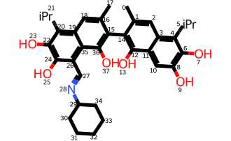 Cc1cc2c(C(C)C)c(O)c(O)cc2c(O)c1-c1c(C)cc2c(C(C)C)c(O)c(O)c(/C=N/C3CCCCC3)c2c1O